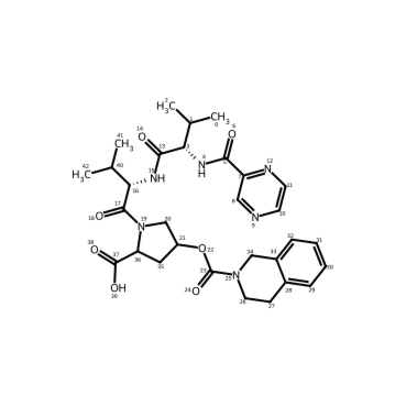 CC(C)[C@H](NC(=O)c1cnccn1)C(=O)N[C@H](C(=O)N1CC(OC(=O)N2CCc3ccccc3C2)CC1C(=O)O)C(C)C